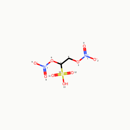 O=[N+]([O-])OCC(O[N+](=O)[O-])S(=O)(=O)O